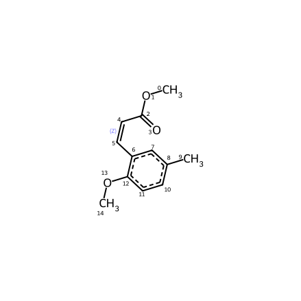 COC(=O)/C=C\c1cc(C)ccc1OC